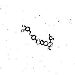 C=NC(=O)[C@@H]1Cc2cc3c(cc2CN1C(=O)c1cc(C)on1)OC(C1=CC=C(OCc2ccc(Cl)c(Cl)c2)CC1)CO3